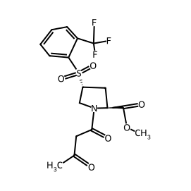 COC(=O)[C@@H]1C[C@@H](S(=O)(=O)c2ccccc2C(F)(F)F)CN1C(=O)CC(C)=O